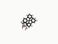 CCN(CC)Cc1cccc2c1C1(c3ccccc3-c3cccc(CN(C)C)c31)c1ccccc1-2